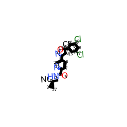 N#CC1(CNC(=O)c2ccc(C3=NOC(c4cc(Cl)cc(Cl)c4)(C(F)(F)F)C3)cn2)CC1